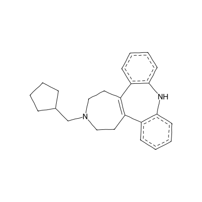 c1ccc2c(c1)Nc1ccccc1C1=C2CCN(CC2CCCC2)CC1